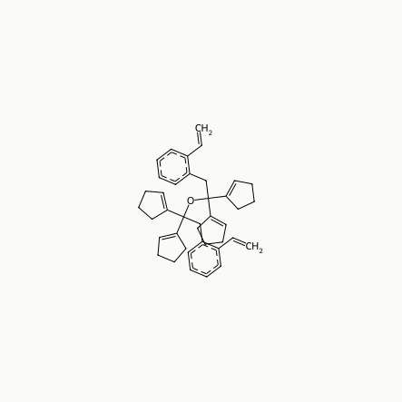 C=Cc1ccccc1CC(OC(Cc1ccccc1C=C)(C1=CCCC1)C1=CCCC1)(C1=CCCC1)C1=CCCC1